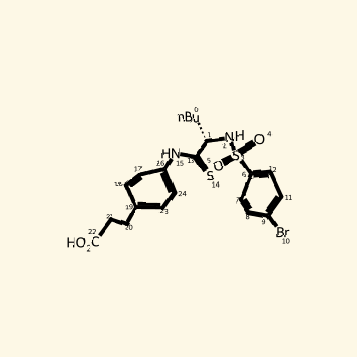 CCCC[C@H](NS(=O)(=O)c1ccc(Br)cc1)C(=S)Nc1ccc(CCC(=O)O)cc1